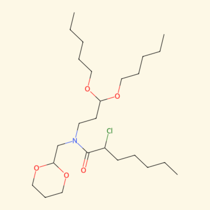 CCCCCOC(CCN(CC1OCCCO1)C(=O)C(Cl)CCCCC)OCCCCC